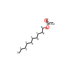 CCCCCCCCCC[O][Sn]([CH3])=[O]